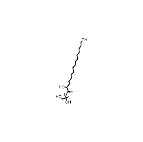 CC(O)(CO)OC(=O)C(O)CCCCCCCCCCCCCCO